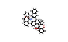 c1ccc(-c2c(N(c3cccc4ccccc34)c3ccc4c5c(cccc35)C3(c5ccccc5Oc5ccccc53)c3ccccc3-4)ccc3ccccc23)cc1